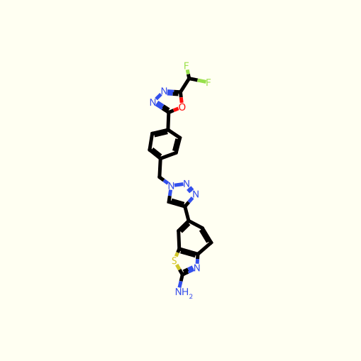 Nc1nc2ccc(-c3cn(Cc4ccc(-c5nnc(C(F)F)o5)cc4)nn3)cc2s1